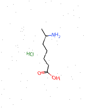 CC(N)CCCCC(=O)O.Cl